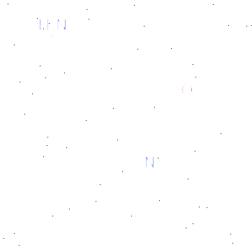 CCN(CC)c1ccc(N)cc1OC